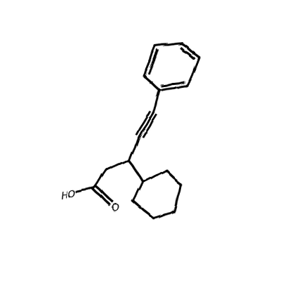 O=C(O)CC(C#Cc1ccccc1)C1CCCCC1